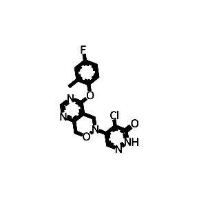 Cc1cc(F)ccc1Oc1ncnc2c1CN(c1cn[nH]c(=O)c1Cl)OC2